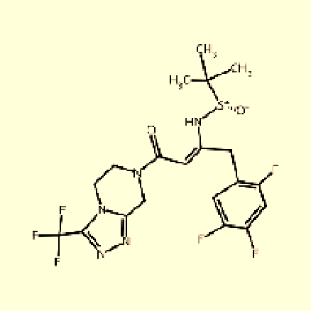 CC(C)(C)[S@+]([O-])N/C(=C\C(=O)N1CCn2c(nnc2C(F)(F)F)C1)Cc1cc(F)c(F)cc1F